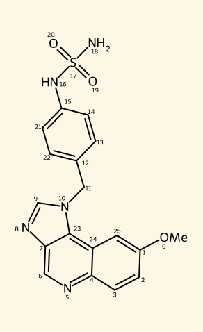 COc1ccc2ncc3ncn(Cc4ccc(NS(N)(=O)=O)cc4)c3c2c1